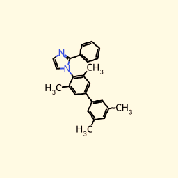 Cc1cc(C)cc(-c2cc(C)c(-n3ccnc3-c3ccccc3)c(C)c2)c1